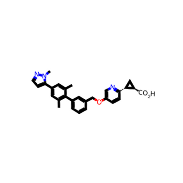 Cc1cc(-c2ccnn2C)cc(C)c1-c1cccc(COc2ccc([C@@H]3C[C@H]3C(=O)O)nc2)c1